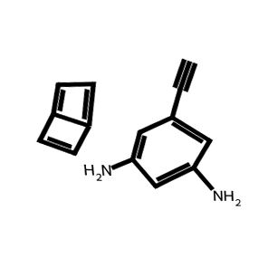 C#Cc1cc(N)cc(N)c1.c1cc2ccc1-2